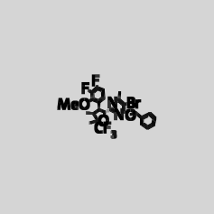 COc1c([C@H]2[C@H](c3nc(C)c(Br)c(OCc4ccccc4)n3)O[C@@](C)(C(F)(F)F)[C@H]2C)ccc(F)c1F